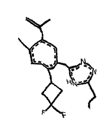 C=C(C)c1cc(-c2nnc(CC)[nH]2)c(C2CC(F)(F)C2)cc1C